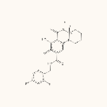 CC(C)N1C(=O)c2c(O)c(=O)c(C(=O)NCc3ccc(F)cc3F)cn2N2CCCC[C@@H]12